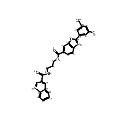 O=C(NCCCOC(=O)c1ccc2nc(-c3cc(Cl)cc(Cl)c3)oc2c1)c1cnc2ccccc2c1